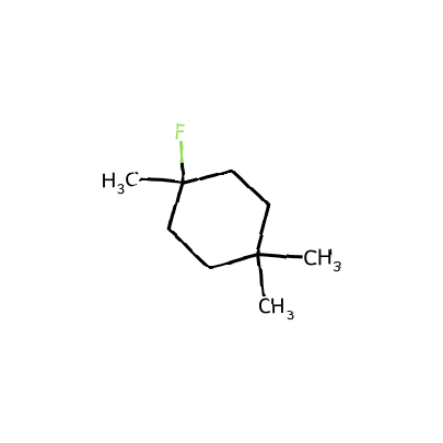 CC1(C)CCC(C)(F)CC1